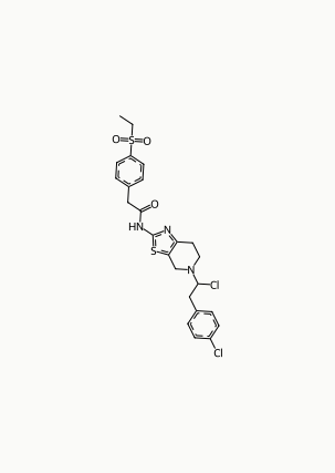 CCS(=O)(=O)c1ccc(CC(=O)Nc2nc3c(s2)CN(C(Cl)Cc2ccc(Cl)cc2)CC3)cc1